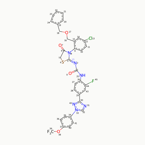 O=C(/N=C1\SCC(=O)N1c1ccc(Cl)cc1COCc1ccccc1)Nc1ccc(-c2ncn(-c3ccc(OC(F)(F)F)cc3)n2)cc1F